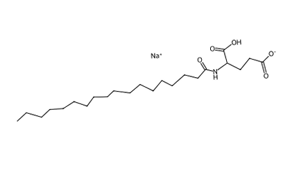 CCCCCCCCCCCCCCCCCC(=O)NC(CCC(=O)[O-])C(=O)O.[Na+]